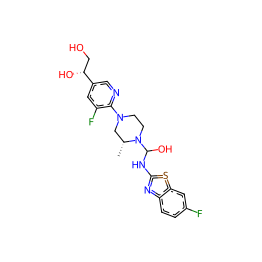 C[C@@H]1CN(c2ncc([C@H](O)CO)cc2F)CCN1C(O)Nc1nc2ccc(F)cc2s1